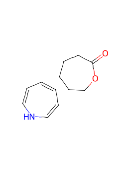 C1=CC=CNC=C1.O=C1CCCCCO1